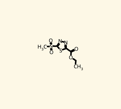 CCOC(=O)c1nnc(S(C)(=O)=O)s1